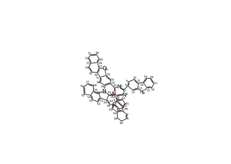 C1=Cc2cc(-c3nc(-c4ccc5c(c4)sc4ccccc45)nc(-c4cc5oc6c7ccccc7ccc6c5cc4-n4c5cc6ccccc6cc5c5ccc6ccccc6c54)n3)ccc2CC1